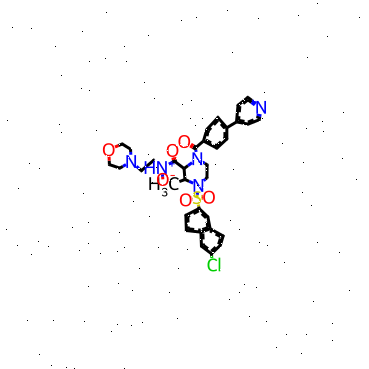 CC1C(C(=O)[NH+]([O-])CCN2CCOCC2)N(C(=O)c2ccc(-c3ccncc3)cc2)CCN1S(=O)(=O)c1ccc2cc(Cl)ccc2c1